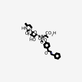 C=C1C=CN([C@@H]2O[C@H](COP(=O)(N[C@@H](C)C(=O)O)Oc3ccc(C(=O)/C=C/c4ccccc4)cc3)[C@@H](O)[C@@]2(C)F)C(=O)N1